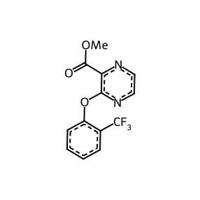 COC(=O)c1nccnc1Oc1ccccc1C(F)(F)F